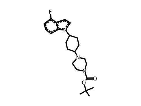 CC(C)(C)OC(=O)N1CCN(C2CCC(n3ccc4c(F)cccc43)CC2)CC1